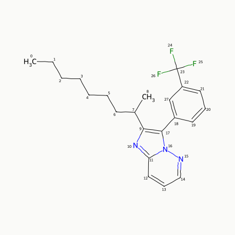 CCCCCCCC(C)c1nc2cccnn2c1-c1cccc(C(F)(F)F)c1